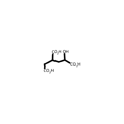 O=C(O)CC(CC(O)C(=O)O)C(=O)O